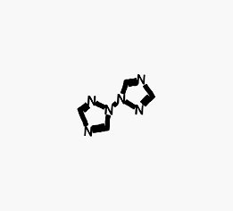 c1ncn(-n2cncn2)n1